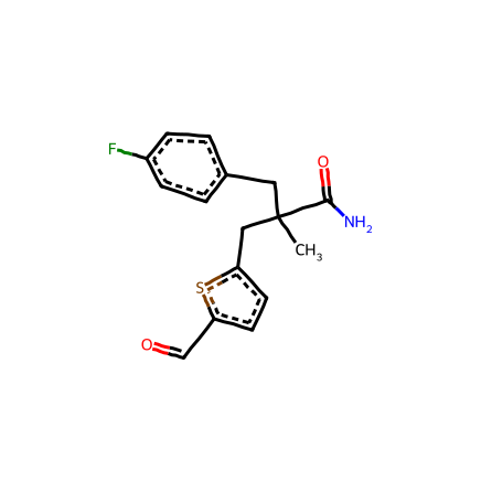 CC(Cc1ccc(F)cc1)(Cc1ccc(C=O)s1)C(N)=O